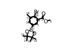 COC(=O)c1cc(B2OC(C)(C)C(C)(C)O2)cc(C)c1Br